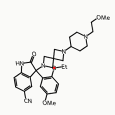 CCOc1ccc(OC)cc1C1(N2CC3(CN(C4CCN(CCOC)CC4)C3)C2)C(=O)Nc2ccc(C#N)cc21